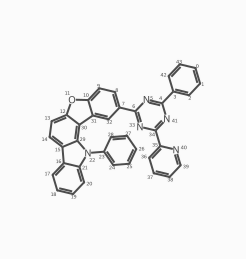 c1ccc(-c2nc(-c3ccc4oc5ccc6c7ccccc7n(-c7ccccc7)c6c5c4c3)nc(-c3ccccn3)n2)cc1